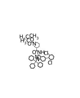 CC(C)(C)OC(=O)N1CCC[C@@H](C(=O)Nc2nn(C(c3ccccc3)(c3ccccc3)c3ccccc3)c3ccc(-c4c(Cl)cccc4Cl)cc23)C1